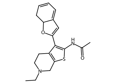 CCN1CCc2c(sc(NC(C)=O)c2C2=CC3=CC=CCC3O2)C1